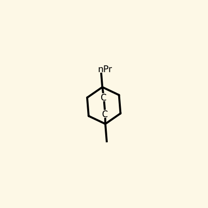 CCCC12CCC(C)(CC1)CC2